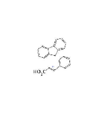 O=C(O)/C=C/c1ccccc1.c1ccc2c(c1)Cc1ccccc1-2